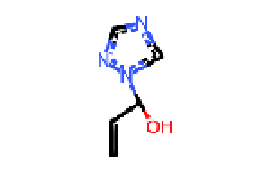 C=CC(O)n1cncn1